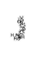 CC(C)(C)OC(=O)N1CCC(Oc2ccc(C(N)NO)cc2)CC1